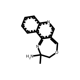 CC1(N)COC=c2cnc3ccccc3c2=N1